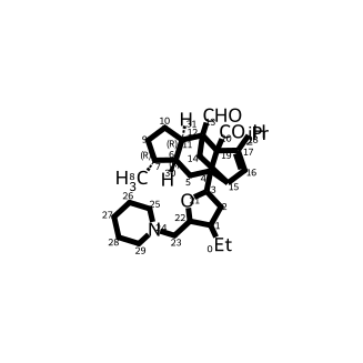 CCC1CC(C23C[C@@H]4[C@H](C)CC[C@H]4C4(C=O)CC2C=C(C(C)C)C34C(=O)O)OC1CN1CCCCC1